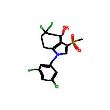 CS(=O)(=O)c1cn(-c2cc(F)cc(Cl)c2)c2c1[C@H](O)C(F)(F)CC2